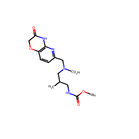 CC(CNC(=O)OC(C)(C)C)CN(Cc1ccc2c(n1)NC(=O)CO2)C(=O)O